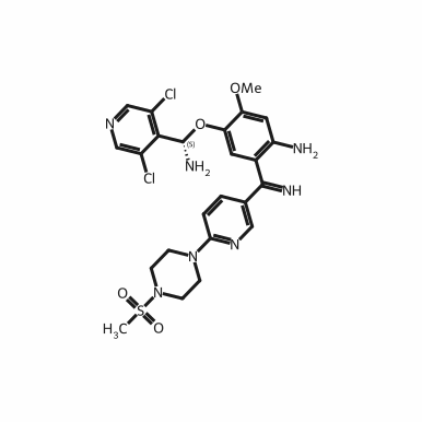 COc1cc(N)c(C(=N)c2ccc(N3CCN(S(C)(=O)=O)CC3)nc2)cc1O[C@H](N)c1c(Cl)cncc1Cl